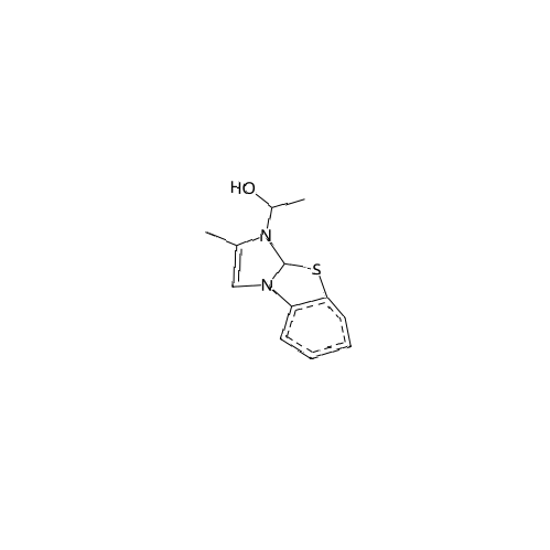 CC1=CN2c3ccccc3SC2N1C(C)O